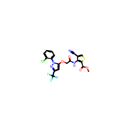 COC(=O)c1scc(C#N)c1NC(=O)COc1cc(C(F)(F)F)nn1-c1ccccc1Cl